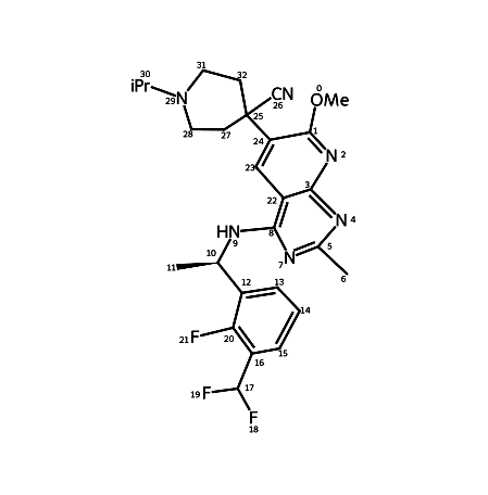 COc1nc2nc(C)nc(N[C@H](C)c3cccc(C(F)F)c3F)c2cc1C1(C#N)CCN(C(C)C)CC1